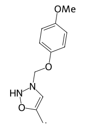 [CH2]C1=CN(COc2ccc(OC)cc2)NO1